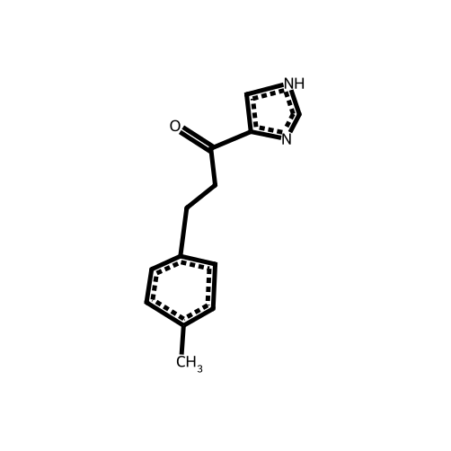 Cc1ccc(CCC(=O)c2c[nH]cn2)cc1